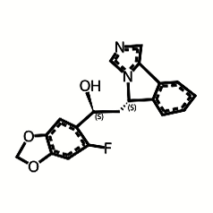 O[C@@H](C[C@H]1c2ccccc2-c2cncn21)c1cc2c(cc1F)OCO2